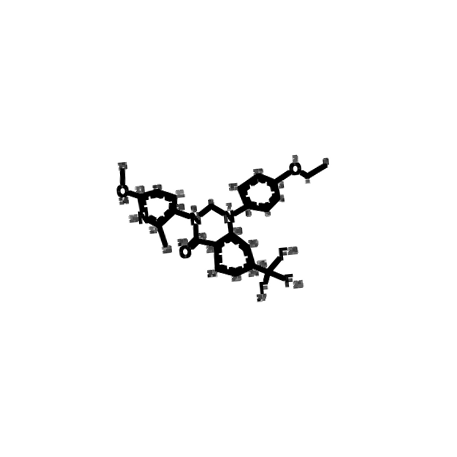 CCOc1ccc(N2CN(c3ccc(OC)nc3C)C(=O)c3ccc(C(F)(F)F)cc32)cc1